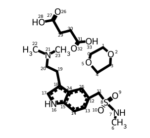 C1COCCO1.CNS(=O)(=O)Cc1ccc2[nH]cc(CCN(C)C)c2c1.O=C(O)CCC(=O)O